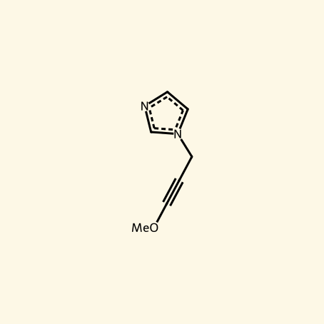 COC#CCn1ccnc1